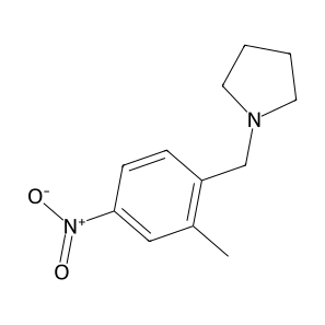 Cc1cc([N+](=O)[O-])ccc1CN1CCCC1